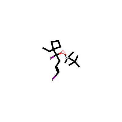 CCC1(C(I)(CC=CI)O[Si](C)(C)C(C)(C)C)CCC1